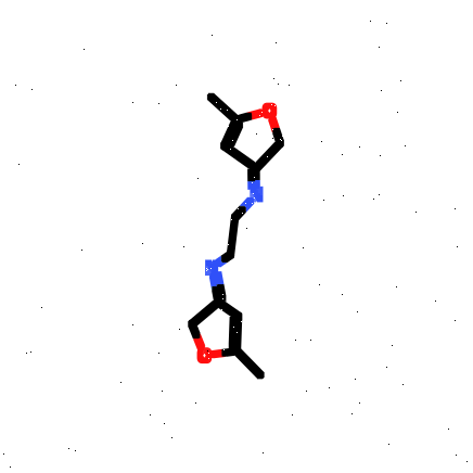 CC1=CC(=NCCN=C2C=C(C)OC2)CO1